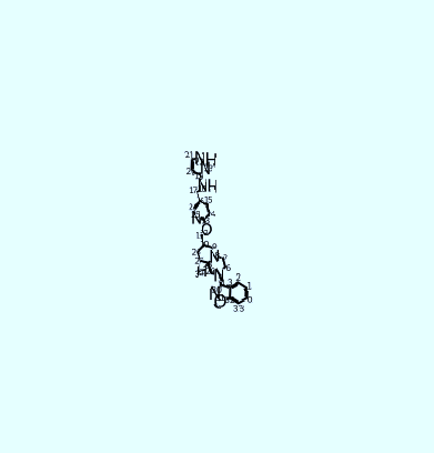 c1ccc2c(N3CCN4C[C@H](COc5ccc(CNc6cc[nH]n6)cn5)CC[C@H]4C3)noc2c1